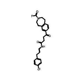 O=C(CCC(=O)c1ccc2c(c1)CCN(C(=O)F)CC2)NCCCc1ccc(Cl)cc1